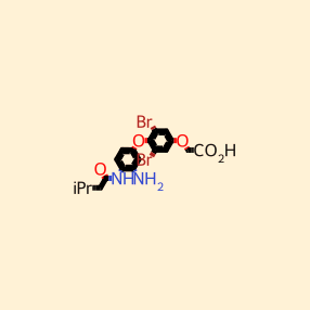 CC(C)CC(=O)Nc1ccc(Oc2c(Br)cc(OCC(=O)O)cc2Br)cc1N